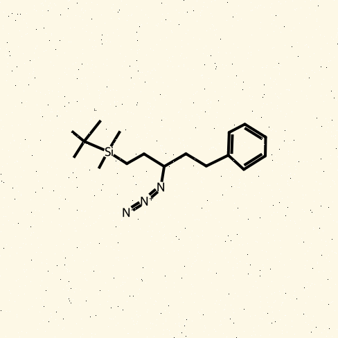 CC(C)(C)[Si](C)(C)CCC(CCc1ccccc1)N=[N+]=[N-]